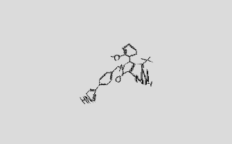 COc1ccccc1C1c2c(C(C)(C)C)n[nH]c2C(=O)N1Cc1ccc(-c2cc[nH]c2)cc1